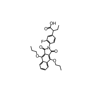 CCCOc1c2c(c(OCCC)c3ccccc13)C(=O)N(c1ccc(C(CC)C(=O)O)cc1F)C2=O